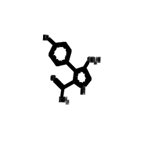 CCc1ccc(-c2c(C(=O)O)c[nH]c2C(N)=O)cc1